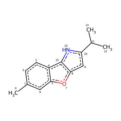 Cc1ccc2c(c1)oc1cc(C(C)C)[nH]c12